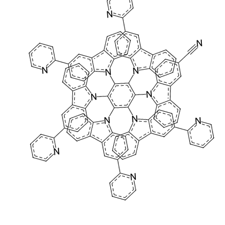 N#Cc1ccc2c(c1)c1ccccc1n2-c1c(-n2c3ccccc3c3cc(-c4ccccn4)ccc32)c(-n2c3ccccc3c3cc(-c4ccccn4)ccc32)c(-n2c3ccccc3c3cc(-c4ccccn4)ccc32)c(-n2c3ccccc3c3cc(-c4ccccn4)ccc32)c1-n1c2ccccc2c2cc(-c3ccccn3)ccc21